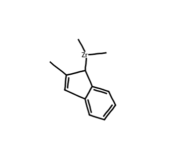 CC1=Cc2ccccc2[CH]1[Zr]([CH3])[CH3]